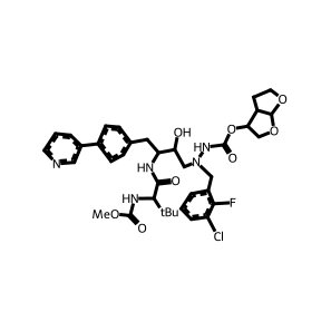 COC(=O)NC(C(=O)NC(Cc1ccc(-c2cccnc2)cc1)C(O)CN(Cc1cccc(Cl)c1F)NC(=O)OC1COC2OCCC12)C(C)(C)C